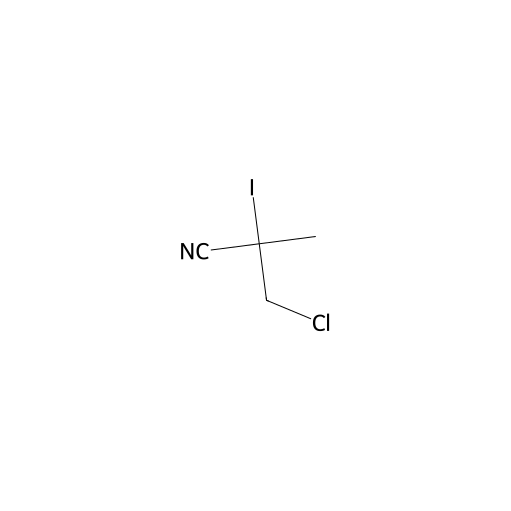 CC(I)(C#N)CCl